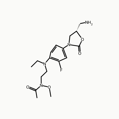 CCN(CCN(OC)C(C)=O)c1ccc(N2C[C@H](CN)OC2=O)cc1F